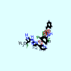 CC(F)C1CNCC(Nc2nccc(-c3cccnc3Oc3cc(F)c(NS(=O)(=O)Cc4ccccc4)c(F)c3F)n2)C1